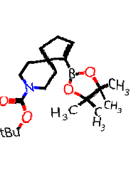 CC(C)(C)OC(=O)N1CCC2(CCC=C2B2OC(C)(C)C(C)(C)O2)CC1